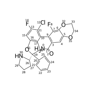 NC(=O)c1cc2c(c(F)c1-c1c(Cl)c(F)cc3c1C[C@](c1ccccc1)(C1CCCN1)O3)OCCO2